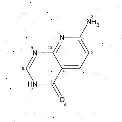 Nc1ccc2c(=O)[nH]cnc2n1